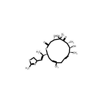 CC1=NC(/C=C(\C)[C@@H]2C/C=C(/C(F)(F)F)C/C=C/[C@H](C)[C@H](O)[C@@H](C)C(=O)C(C)(C)[C@@H](O)CC(=O)O2)CS1